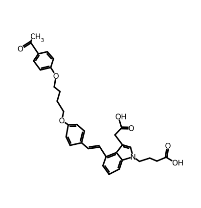 CC(=O)c1ccc(OCCCCOc2ccc(/C=C/c3cccc4c3c(CC(=O)O)cn4CCCC(=O)O)cc2)cc1